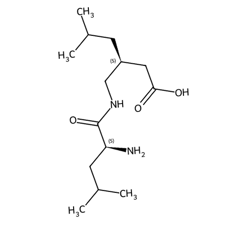 CC(C)C[C@H](CNC(=O)[C@@H](N)CC(C)C)CC(=O)O